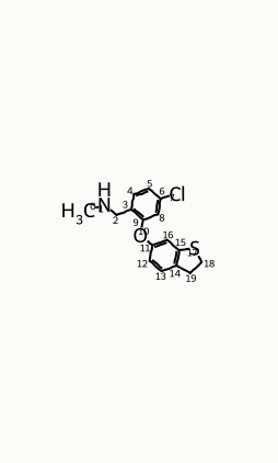 CNCc1ccc(Cl)cc1Oc1ccc2c(c1)SCC2